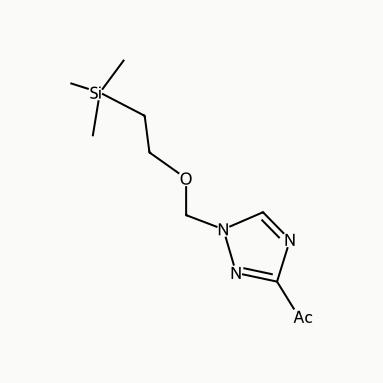 [CH2]C(=O)c1ncn(COCC[Si](C)(C)C)n1